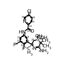 CC1(C)C(N)=N[C@@](C)(c2cc(NC(=O)c3ccc(Cl)cn3)cc(F)c2F)CS1(O)O